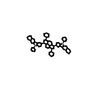 c1ccc(-c2cc(-c3ccc4c(c3)c3cc5ccccc5cc3n4-c3ccccc3)c3ccc4c(-c5ccccc5)cc(-c5ccc6c(c5)c5cc7ccccc7cc5n6-c5ccccc5)c5ccc2c3c45)cc1